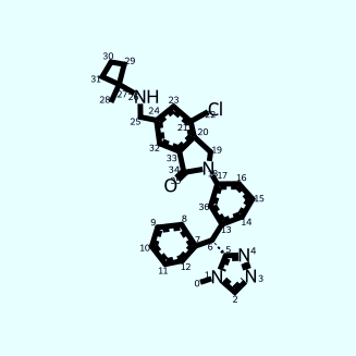 Cn1cnnc1[C@H](c1ccccc1)c1cccc(N2Cc3c(Cl)cc(CNC4(C)CCC4)cc3C2=O)c1